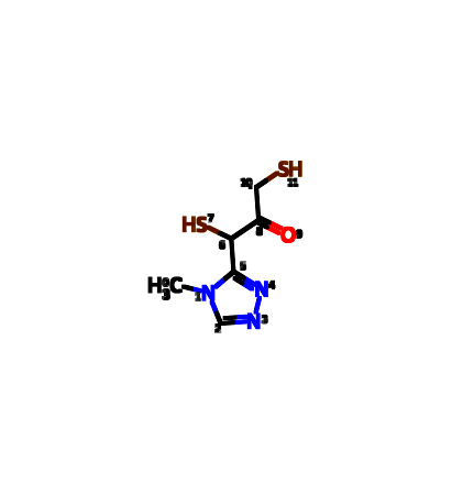 Cn1cnnc1C(S)C(=O)[CH]S